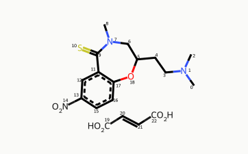 CN(C)CCC1CN(C)C(=S)c2cc([N+](=O)[O-])ccc2O1.O=C(O)C=CC(=O)O